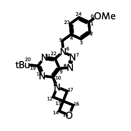 COc1ccc(Cn2nnc3c(N4CC5(COC5)C4)nc(C(C)(C)C)nc32)cc1